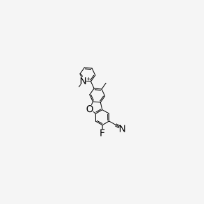 Cc1cc2c(cc1-c1cccc[n+]1C)oc1cc(F)c(C#N)cc12